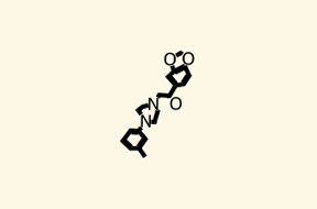 Cc1cccc(N2CCN(CC(=O)c3ccc4c(c3)OCO4)CC2)c1